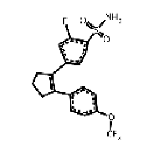 NS(=O)(=O)c1ccc(C2=C(c3ccc(OC(F)(F)F)cc3)CCC2)cc1F